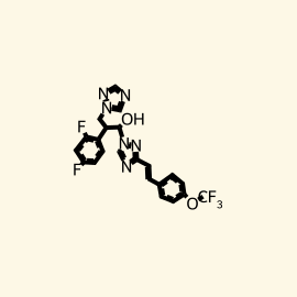 OC(C(Cn1cncn1)c1ccc(F)cc1F)n1cnc(C=Cc2ccc(OC(F)(F)F)cc2)n1